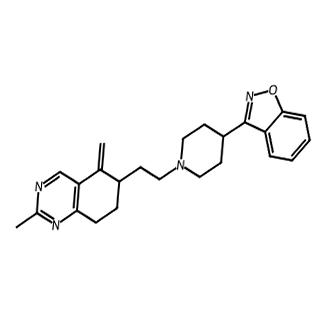 C=C1c2cnc(C)nc2CCC1CCN1CCC(c2noc3ccccc23)CC1